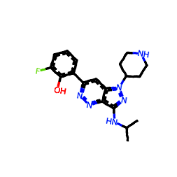 CC(C)Nc1nn(C2CCNCC2)c2cc(-c3cccc(F)c3O)nnc12